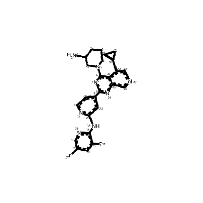 NC1CCCN(c2nc(-c3ccnc(Nc4ncc(F)cc4F)c3)nc3cncc(C4CC4)c23)C1